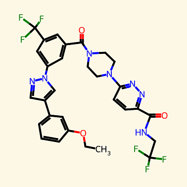 CCOc1cccc(-c2cnn(-c3cc(C(=O)N4CCN(c5ccc(C(=O)NCC(F)(F)F)nn5)CC4)cc(C(F)(F)F)c3)c2)c1